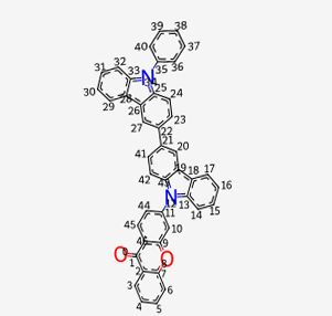 O=c1c2ccccc2oc2cc(-n3c4ccccc4c4cc(-c5ccc6c(c5)c5ccccc5n6-c5ccccc5)ccc43)ccc12